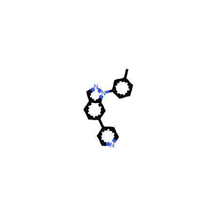 Cc1cccc(-n2ncc3ccc(-c4ccncc4)cc32)c1